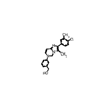 CC1=C(c2ccc(Cl)c(C)c2)N=C2C=CN(c3cccc(CO)c3)C[N+]21